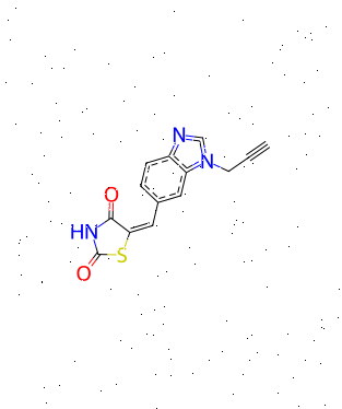 C#CCn1cnc2ccc(C=C3SC(=O)NC3=O)cc21